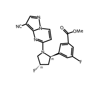 COC(=O)c1cc(F)cc([C@H]2C[C@H](F)CN2c2ccn3ncc(C#N)c3n2)c1